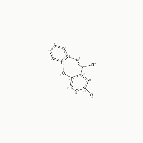 ClC1=Nc2ccccc2Oc2ccc(Cl)cc21